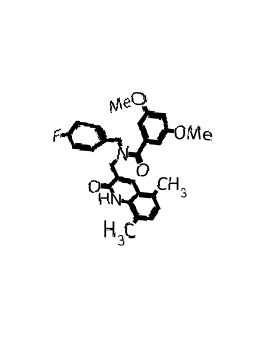 COc1cc(OC)cc(C(=O)N(Cc2ccc(F)cc2)Cc2cc3c(C)ccc(C)c3[nH]c2=O)c1